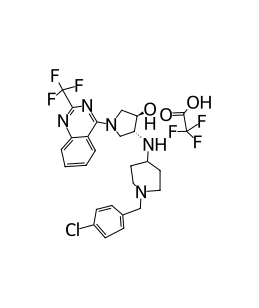 O=C(O)C(F)(F)F.O[C@@H]1CN(c2nc(C(F)(F)F)nc3ccccc23)C[C@H]1NC1CCN(Cc2ccc(Cl)cc2)CC1